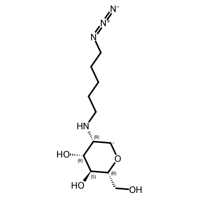 [N-]=[N+]=NCCCCCN[C@@H]1[CH]O[C@H](CO)[C@@H](O)[C@@H]1O